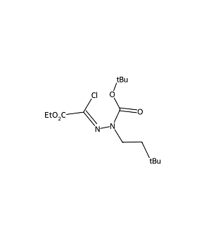 CCOC(=O)C(Cl)=NN(CCC(C)(C)C)C(=O)OC(C)(C)C